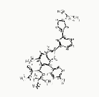 COC(=O)C(OC(C)(C)C)c1c(C)cc2nc(-c3ccnc(N4CC[C@H](N(C)C)C4)n3)sc2c1-c1ccc(Cl)cc1